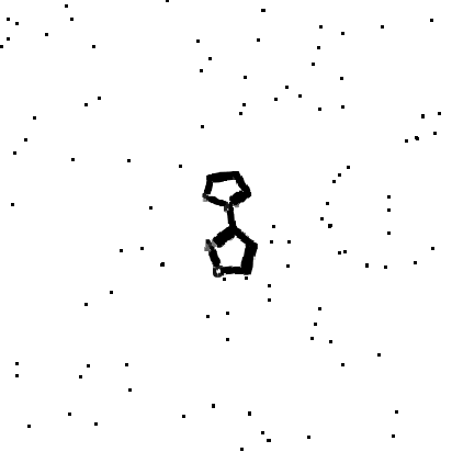 c1cs[n+](-c2ccon2)c1